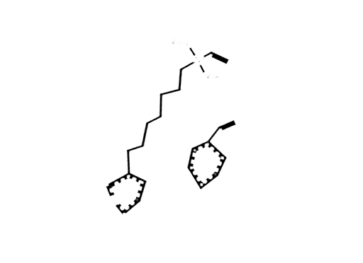 C=C[N+](CCCCCC)(CCCCCC)CCCCCCCc1ccccc1.C=Cc1ccccc1.[Cl-]